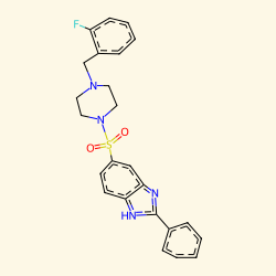 O=S(=O)(c1ccc2[nH]c(-c3ccccc3)nc2c1)N1CCN(Cc2ccccc2F)CC1